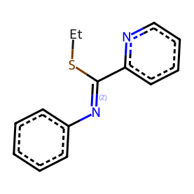 CCS/C(=N\c1ccccc1)c1ccccn1